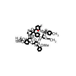 C=CCOCC(COS(=O)(=O)c1ccc(C)cc1)Oc1cc(C)c(-c2c(-c3ccc(F)cc3)oc3ncnc(OC(Cc4cc(O[Si](C)(C)C(C)(C)C)ccc4OCc4ccnc(-c5ccccc5OC)n4)C(=O)O)c23)c(C)c1